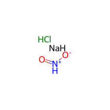 Cl.O=[NH+][O-].[NaH]